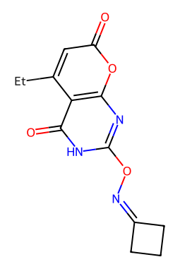 CCc1cc(=O)oc2nc(ON=C3CCC3)[nH]c(=O)c12